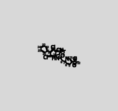 CC(C)CC1(NC(=O)Cc2ccc(S(C)(=O)=O)cn2)C=C(Cl)C(c2ccccc2)=C(Cl)C1C#N